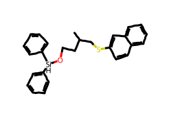 CC(CCO[SiH](c1ccccc1)c1ccccc1)CSc1ccc2ccccc2c1